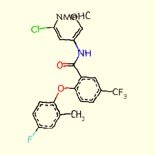 CN/C(Cl)=C\C(=C/C=O)NC(=O)c1cc(C(F)(F)F)ccc1Oc1ccc(F)cc1C